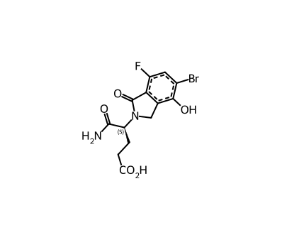 NC(=O)[C@H](CCC(=O)O)N1Cc2c(O)c(Br)cc(F)c2C1=O